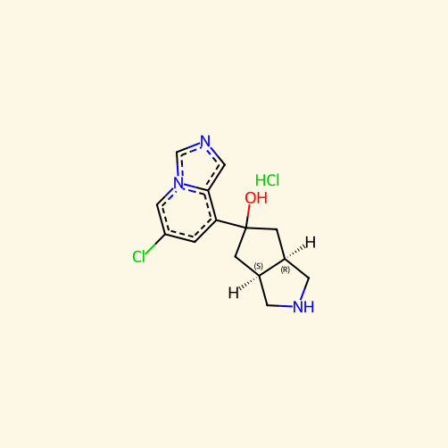 Cl.OC1(c2cc(Cl)cn3cncc23)C[C@H]2CNC[C@H]2C1